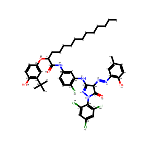 CCCCCCCCCCCCC(Oc1ccc(O)c(C(C)(C)C)c1)C(=O)Nc1ccc(Cl)c(NC2=NN(c3c(Cl)cc(Cl)cc3Cl)C(=O)C2/N=N/c2cc(C)ccc2O)c1